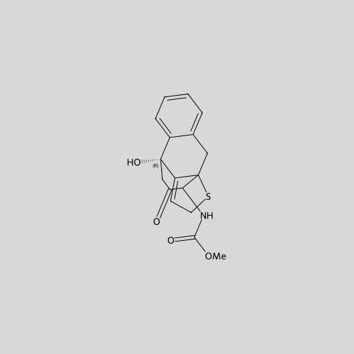 COC(=O)NC1C(=O)C[C@]2(O)C3=CCSC31Cc1ccccc12